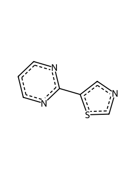 c1cnc(-c2cncs2)nc1